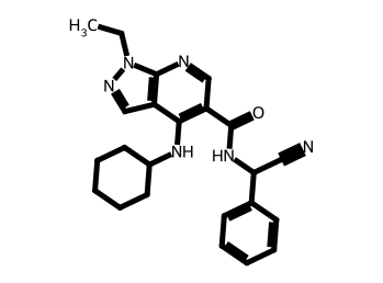 CCn1ncc2c(NC3CCCCC3)c(C(=O)NC(C#N)c3ccccc3)cnc21